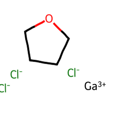 C1CCOC1.[Cl-].[Cl-].[Cl-].[Ga+3]